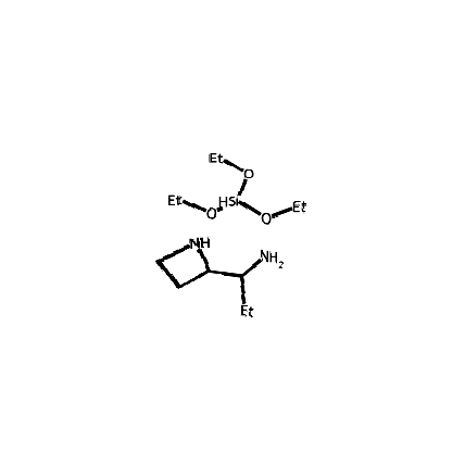 CCC(N)C1CCN1.CCO[SiH](OCC)OCC